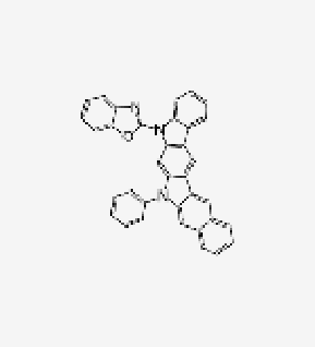 c1ccc(-n2c3cc4ccccc4cc3c3cc4c5ccccc5n(-c5nc6ccccc6o5)c4cc32)cc1